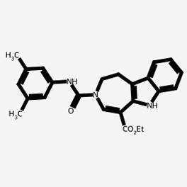 CCOC(=O)C1=CN(C(=O)Nc2cc(C)cc(C)c2)CCc2c1[nH]c1ccccc21